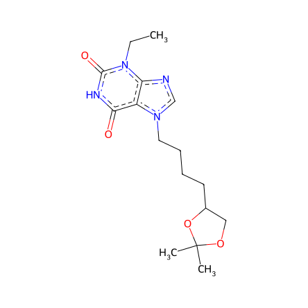 CCn1c(=O)[nH]c(=O)c2c1ncn2CCCCC1COC(C)(C)O1